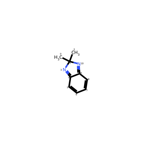 CC1(C)N=c2ccccc2=N1